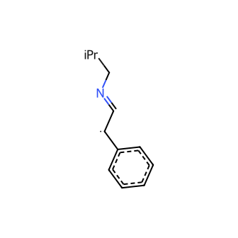 CC(C)CN=C[CH]c1ccccc1